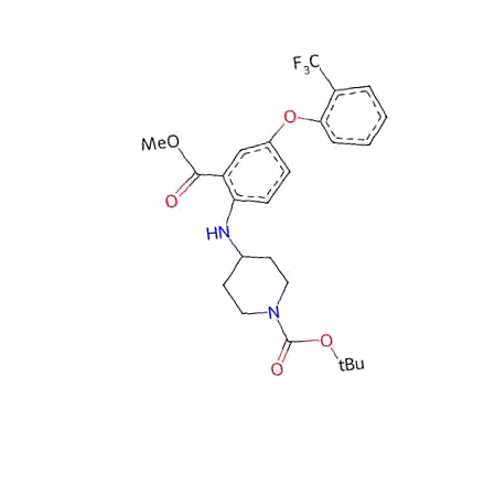 COC(=O)c1cc(Oc2ccccc2C(F)(F)F)ccc1NC1CCN(C(=O)OC(C)(C)C)CC1